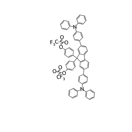 O=S(=O)(Oc1ccc(C2(c3ccc(OS(=O)(=O)C(F)(F)F)cc3)c3cc(-c4ccc(N(c5ccccc5)c5ccccc5)cc4)ccc3-c3ccc(-c4ccc(N(c5ccccc5)c5ccccc5)cc4)cc32)cc1)C(F)(F)F